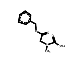 [CH2]OC(=O)N(C)CC(=O)OCc1ccccc1